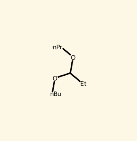 CC[CH]OC(CC)OCCCC